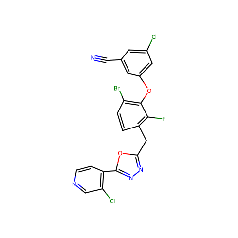 N#Cc1cc(Cl)cc(Oc2c(Br)ccc(Cc3nnc(-c4ccncc4Cl)o3)c2F)c1